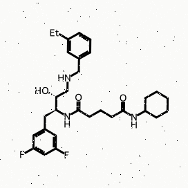 CCc1cccc(CNC[C@@H](O)[C@H](Cc2cc(F)cc(F)c2)NC(=O)CCCC(=O)NC2CCCCC2)c1